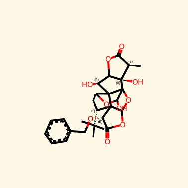 C[C@@H]1C(=O)OC2[C@H](O)C34C5C[C@@H](C(C)(C)C)C36C(OC(=O)[C@@H]6OCc3ccccc3)OC4(C(O)O5)[C@]21O